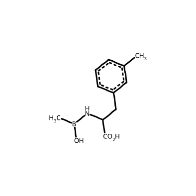 CB(O)NC(Cc1cccc(C)c1)C(=O)O